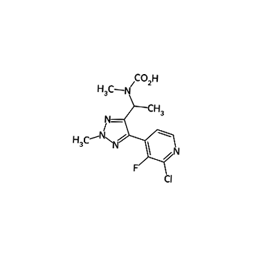 CC(c1nn(C)nc1-c1ccnc(Cl)c1F)N(C)C(=O)O